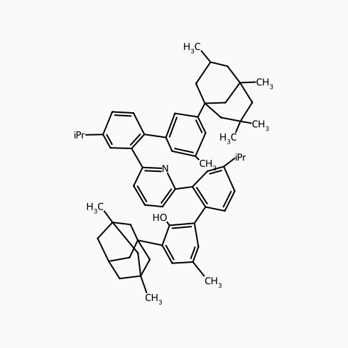 Cc1cc(-c2ccc(C(C)C)cc2-c2cccc(-c3cc(C(C)C)ccc3-c3cc(C)cc(C45CC6CC(C)(CC(C)(C6)C4)C5)c3O)n2)cc(C23CC(C)CC(C)(CC(C)(C)C2)C3)c1